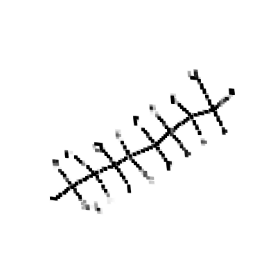 FC(F)([SiH3])C(F)(Cl)C(F)(Cl)C(F)(F)C(F)(F)C(F)(F)C(F)(F)C(F)(F)Cl